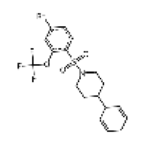 O=S(=O)(c1ccc(Br)cc1OC(F)(F)F)N1CCC(C2C=CCC=C2)CC1